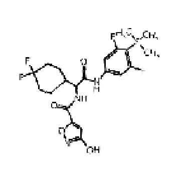 CS(C)(C)c1c(F)cc(NC(=O)C(NC(=O)c2cc(O)no2)C2CCC(F)(F)CC2)cc1F